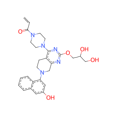 C=CC(=O)N1CCN(c2nc(OCC(O)CO)nc3c2CCN(c2cc(O)cc4ccccc24)C3)CC1